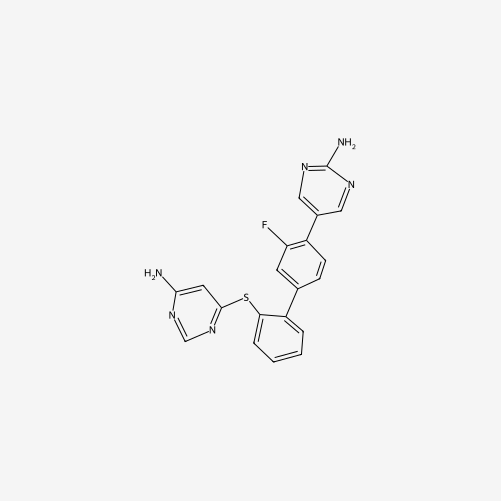 Nc1cc(Sc2ccccc2-c2ccc(-c3cnc(N)nc3)c(F)c2)ncn1